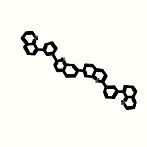 c1cc(-c2ccc3ccc(-c4ccc5ccc(-c6cccc(-c7cccc8cccnc78)c6)nc5c4)cc3n2)cc(-c2cccc3cccnc23)c1